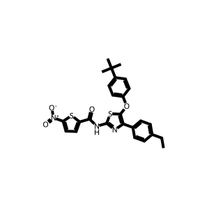 CCc1ccc(-c2nc(NC(=O)c3ccc([N+](=O)[O-])s3)sc2Oc2ccc(C(C)(C)C)cc2)cc1